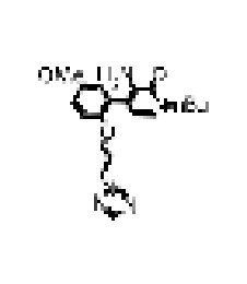 CCCCn1ccc(-c2cc(OC)ccc2OCCCn2cncn2)c(N)c1=O